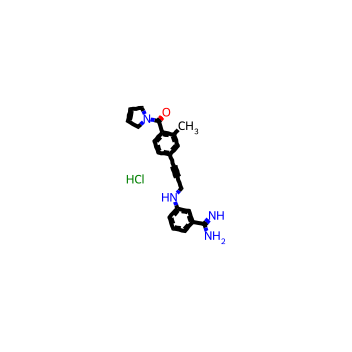 Cc1cc(C#CCNc2cccc(C(=N)N)c2)ccc1C(=O)N1CC=CC1.Cl